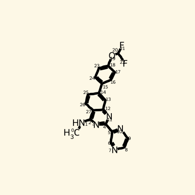 CNc1nc(-c2cnccn2)nc2cc(-c3ccc(OC(F)F)cc3)ccc12